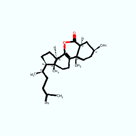 CC(=O)O[C@H]1CC[C@]2(C)C3=C(OC(=O)[C@H]2C1)[C@@H]1CC[C@H]([C@H](C)CCC(C)C(C)C)[C@@]1(C)CC3